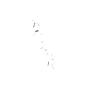 O=C(NC=NOCc1ccc(Cl)cc1Cl)c1cc(C(=O)c2ccc(Cl)cc2Cl)c[nH]1